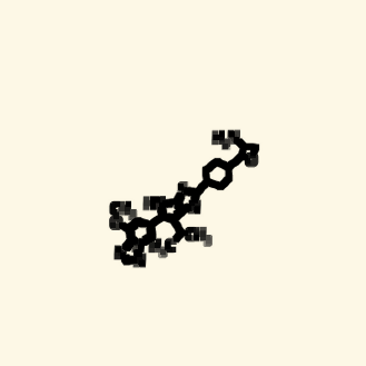 COc1cc(-c2[nH]c3sc(C4CCC(C5OCC5N)CC4)nc3c2C(C)C)cn2ncnc12